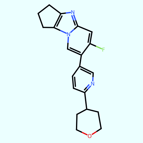 Fc1cc2nc3c(n2cc1-c1ccc(C2CCOCC2)nc1)CCC3